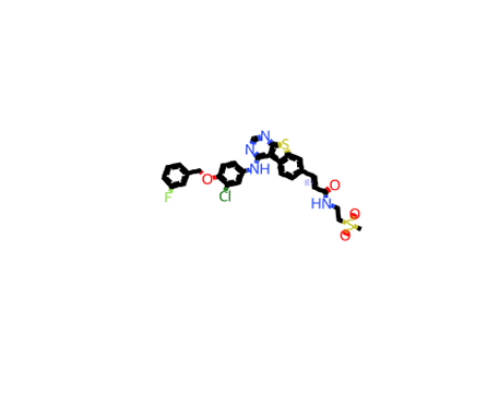 CS(=O)(=O)CCNC(=O)/C=C/c1ccc2c(c1)sc1ncnc(Nc3ccc(OCc4cccc(F)c4)c(Cl)c3)c12